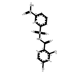 O=C(NS(=O)(=O)c1cccc([N+](=O)O)n1)c1ncc(Cl)nc1Cl